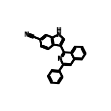 N#Cc1ccc2c(-c3nc(-c4ccccc4)cc4ccccc34)c[nH]c2c1